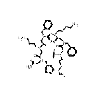 CC(=O)N(CCCCN)CC(=O)N(CC(=O)N(CCCCN)CC(=O)N(CC(=O)N(CCCCN)CC(=O)N(CC(N)=O)Cc1ccccc1)Cc1ccccc1)Cc1ccccc1